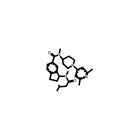 Cc1cc(N2CCC(N(C)C(=O)c3ccc4c(c3)C(N(C)C(=O)CC(C)C)CC4)CC2)cc(C)n1